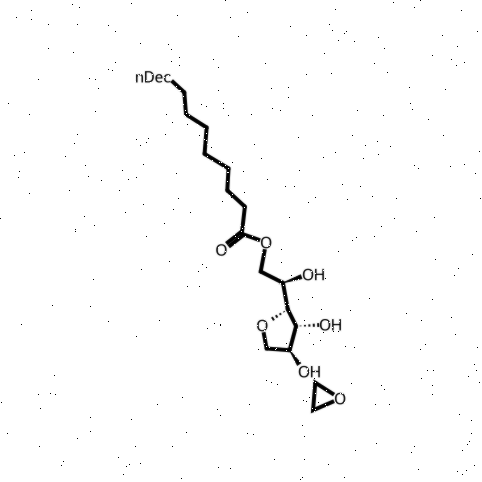 C1CO1.CCCCCCCCCCCCCCCCCC(=O)OC[C@@H](O)[C@H]1OC[C@H](O)[C@H]1O